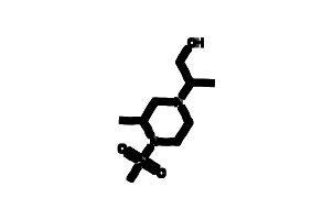 CC(CO)N1CCN(S(C)(=O)=O)C(C)C1